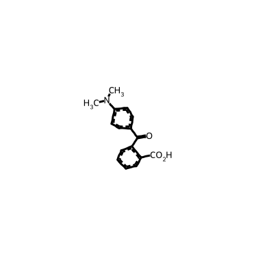 CN(C)c1ccc(C(=O)c2ccccc2C(=O)O)cc1